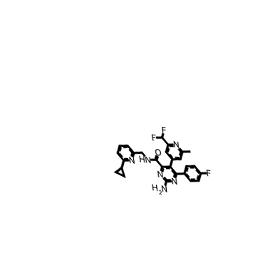 Cc1cc(-c2c(C(=O)NCc3cccc(C4CC4)n3)nc(N)nc2-c2ccc(F)cc2)cc(C(F)F)n1